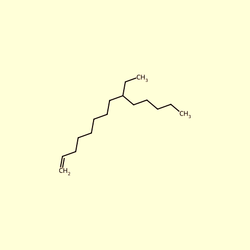 C=CCCCCCCC(CC)CCCCC